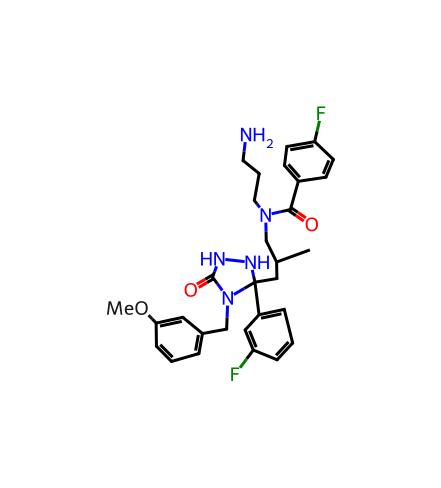 COc1cccc(CN2C(=O)NNC2(CC(C)CN(CCCN)C(=O)c2ccc(F)cc2)c2cccc(F)c2)c1